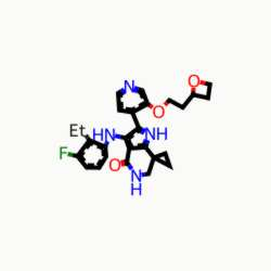 CCc1c(F)cccc1Nc1c(-c2ccncc2OCCC2CCO2)[nH]c2c1C(=O)NCC21CC1